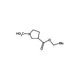 CC(C)(C)COC(=O)C1CCN(C(=O)O)C1